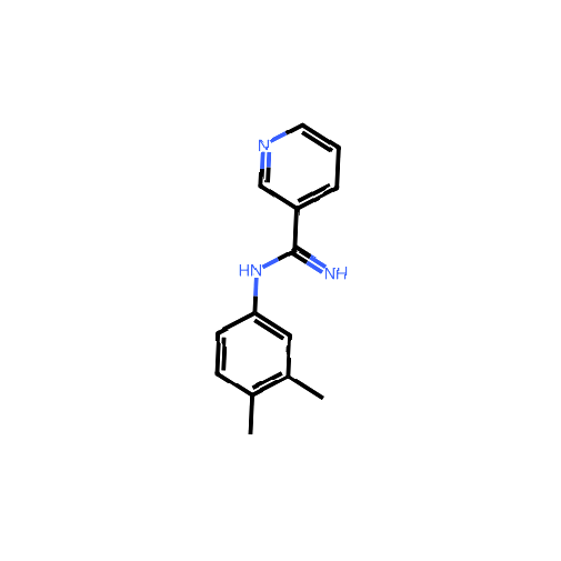 Cc1ccc(NC(=N)c2cccnc2)cc1C